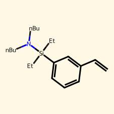 C=Cc1cccc([Si](CC)(CC)N(CCCC)CCCC)c1